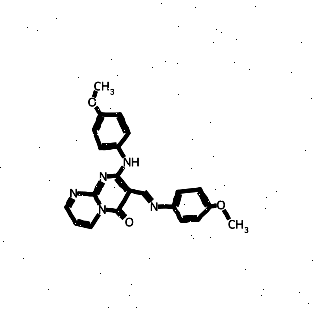 COc1ccc(N=Cc2c(Nc3ccc(OC)cc3)nc3ncccn3c2=O)cc1